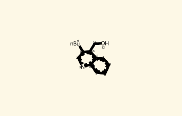 CCCCc1cnc2ccccc2c1CO